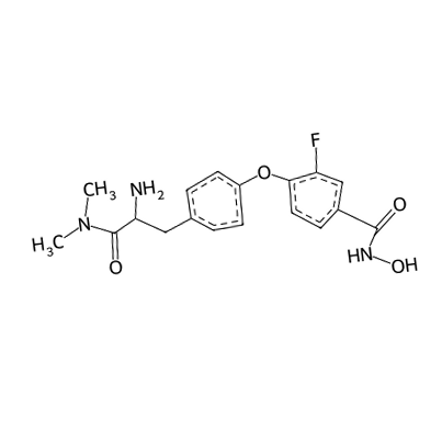 CN(C)C(=O)C(N)Cc1ccc(Oc2ccc(C(=O)NO)cc2F)cc1